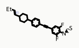 CC/C=C/C1CCC(c2ccc(C#Cc3cc(F)c(N=C=S)c(F)c3)cc2)CC1